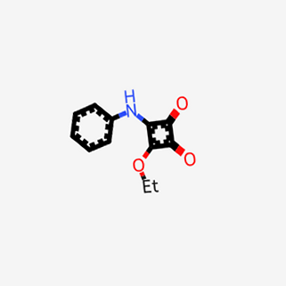 CCOc1c(Nc2ccccc2)c(=O)c1=O